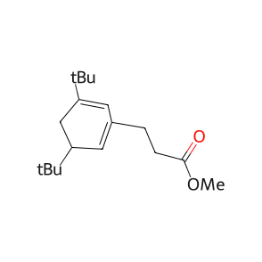 COC(=O)CCC1=CC(C(C)(C)C)CC(C(C)(C)C)=C1